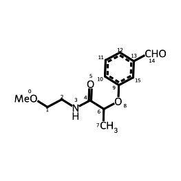 COCCNC(=O)C(C)Oc1cccc(C=O)c1